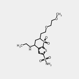 CCNC1CC(CCOCCOC)S(=O)(=O)c2sc(S(N)(=O)=O)cc21